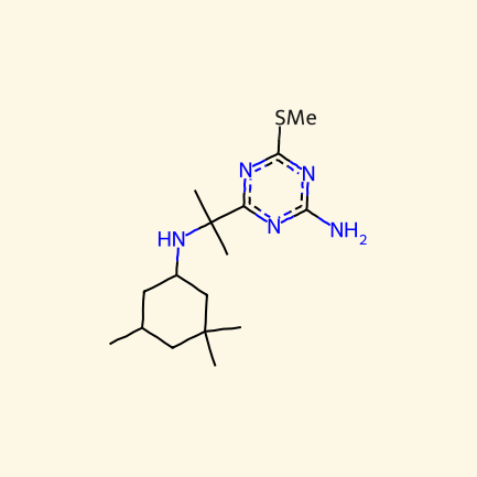 CSc1nc(N)nc(C(C)(C)NC2CC(C)CC(C)(C)C2)n1